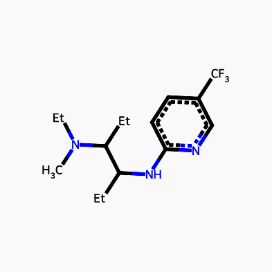 CCC(Nc1ccc(C(F)(F)F)cn1)C(CC)N(C)CC